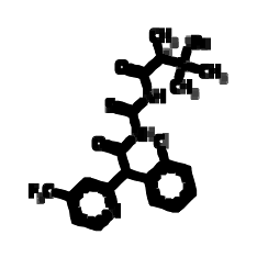 C[C@H](C(=O)NC(=S)NC(=O)C(c1cc(C(F)(F)F)ccn1)c1ccccc1Cl)[Si](C)(C)C(C)(C)C